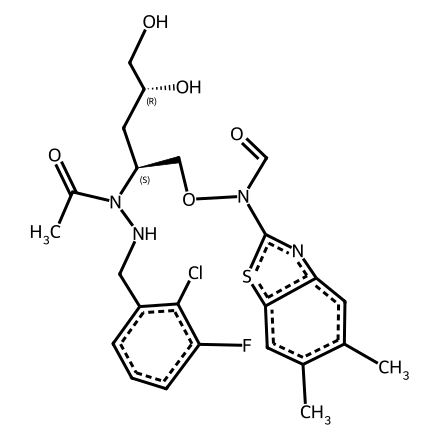 CC(=O)N(NCc1cccc(F)c1Cl)[C@H](CON(C=O)c1nc2cc(C)c(C)cc2s1)C[C@@H](O)CO